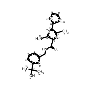 Cc1nc(C(=O)NCc2cccc(C(C)(C)O)n2)c(N)nc1-c1ncco1